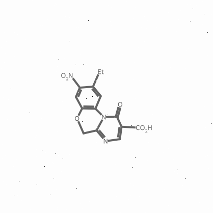 CCc1cc2c(cc1[N+](=O)[O-])OCc1ncc(C(=O)O)c(=O)n1-2